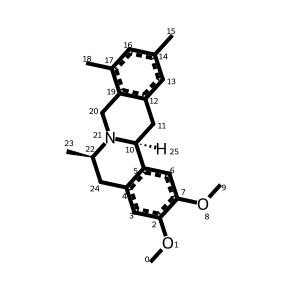 COc1cc2c(cc1OC)[C@@H]1Cc3cc(C)cc(C)c3CN1[C@H](C)C2